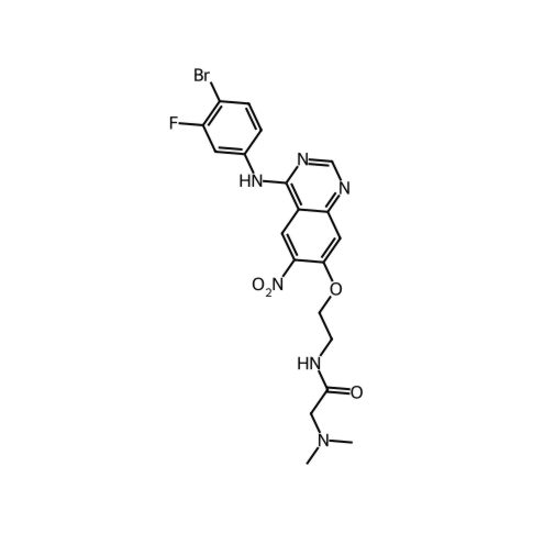 CN(C)CC(=O)NCCOc1cc2ncnc(Nc3ccc(Br)c(F)c3)c2cc1[N+](=O)[O-]